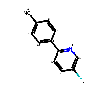 N#Cc1ccc(-c2ccc(F)cn2)cc1